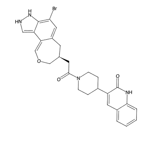 O=C(C[C@H]1COC=c2c(cc(Br)c3c2=CNN3)C1)N1CCC(c2cc3ccccc3[nH]c2=O)CC1